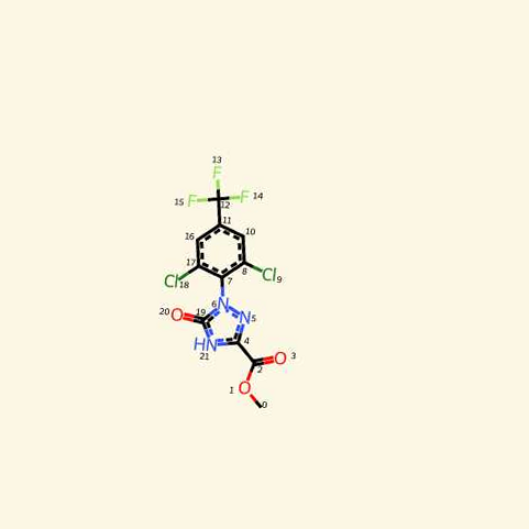 COC(=O)c1nn(-c2c(Cl)cc(C(F)(F)F)cc2Cl)c(=O)[nH]1